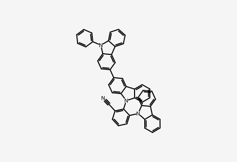 N#Cc1cccc(-n2c3ccccc3c3ccccc32)c1-n1c2ccccc2c2cc(-c3ccc4c(c3)c3ccccc3n4-c3ccccc3)ccc21